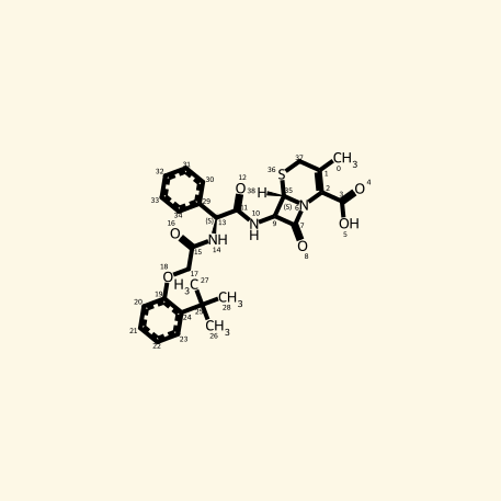 CC1=C(C(=O)O)N2C(=O)C(NC(=O)[C@@H](NC(=O)COc3ccccc3C(C)(C)C)c3ccccc3)[C@@H]2SC1